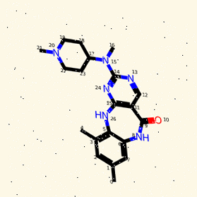 Cc1cc(C)c2c(c1)NC(=O)c1cnc(N(C)C3CCN(C)CC3)nc1N2